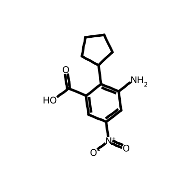 Nc1cc([N+](=O)[O-])cc(C(=O)O)c1C1CCCC1